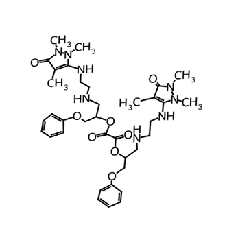 Cc1c(NCCNCC(COc2ccccc2)OC(=O)C(=O)OC(CNCCNc2c(C)c(=O)n(C)n2C)COc2ccccc2)n(C)n(C)c1=O